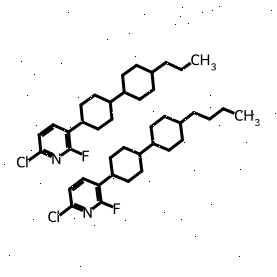 CCCC1CCC(C2CCC(c3ccc(Cl)nc3F)CC2)CC1.CCCCC1CCC(C2CCC(c3ccc(Cl)nc3F)CC2)CC1